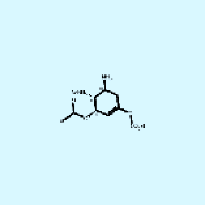 CCOC(=O)OC1=C[C@@H](OC(CC)CC)[C@H](NC(C)=O)[C@@H](N)C1